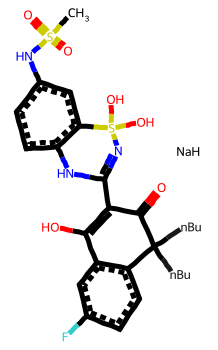 CCCCC1(CCCC)C(=O)C(C2=NS(O)(O)c3cc(NS(C)(=O)=O)ccc3N2)=C(O)c2cc(F)ccc21.[NaH]